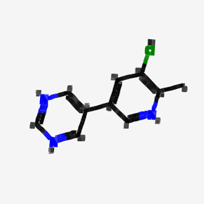 Cc1ncc(-c2cncnc2)cc1Cl